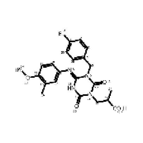 CCc1ccc(Cn2c(=Nc3ccc(OC(C)C)c(C)c3)[nH]c(=O)n(CC(C)C(=O)O)c2=O)cc1